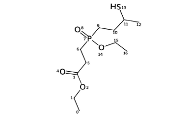 CCOC(=O)CCP(=O)(CCC(C)S)OCC